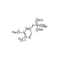 COc1cc(C[Si](OC)(OC)OC)ccc1C